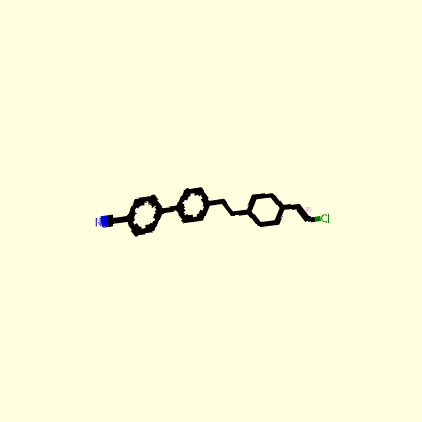 N#Cc1ccc(-c2ccc(CCC3CCC(/C=C/Cl)CC3)cc2)cc1